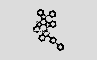 c1ccc(-c2ccc(-c3nc(-n4c5ccccc5c5c6c(c7ccccc7n6-c6ccccc6)c6sc7cncnc7c6c54)nc4ccccc34)cc2)cc1